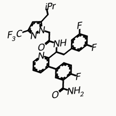 CC(C)Cc1cc(C(F)(F)F)nn1CC(=O)NC(Cc1cc(F)cc(F)c1)c1ncccc1-c1ccc(F)c(C(N)=O)c1